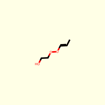 CC=COOCCO